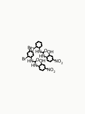 O=C(Nc1ccc([N+](=O)[O-])cc1O)Nc1ccc(Br)cc1Br.O=C(Nc1ccc([N+](=O)[O-])cc1O)Nc1ccccc1Cl